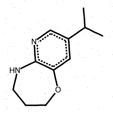 CC(C)c1cnc2c(c1)OCCCN2